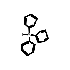 IS(c1ccccc1)(c1ccccc1)c1ccccc1